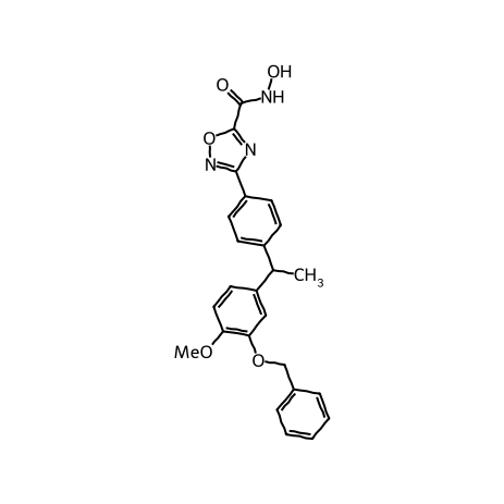 COc1ccc(C(C)c2ccc(-c3noc(C(=O)NO)n3)cc2)cc1OCc1ccccc1